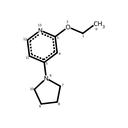 CCOc1cc(N2CCCC2)ccn1